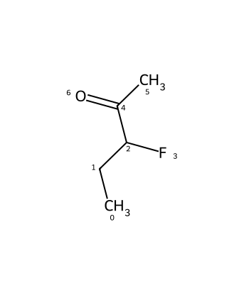 CCC(F)C(C)=O